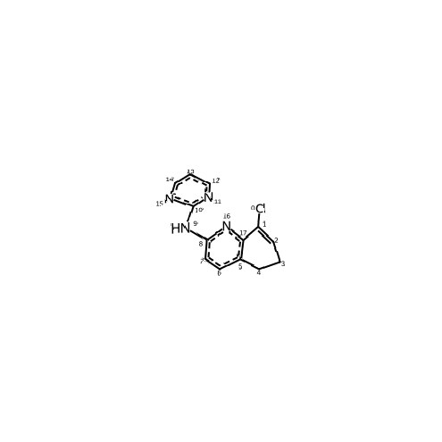 ClC1=CCCc2ccc(Nc3ncccn3)nc21